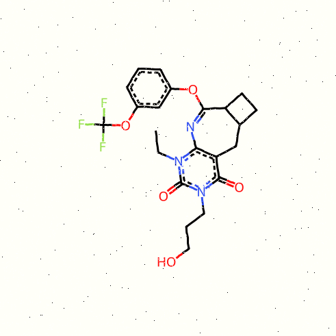 CCn1c2c(c(=O)n(CCCO)c1=O)CC1CCC1C(Oc1cccc(OC(F)(F)F)c1)=N2